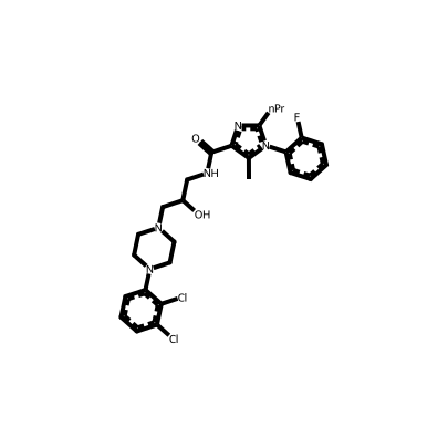 CCCc1nc(C(=O)NCC(O)CN2CCN(c3cccc(Cl)c3Cl)CC2)c(C)n1-c1ccccc1F